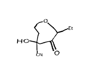 CCC1OCC(O)(C#N)C1=O